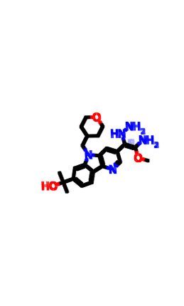 CO/C(N)=C(/NN)c1cnc2c3ccc(C(C)(C)O)cc3n(CC3CCOCC3)c2c1